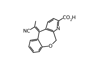 C/C(C#N)=C1/c2ccccc2OCc2nc(C(=O)O)ccc21